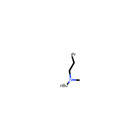 CCCCN(C)CCC(C)C